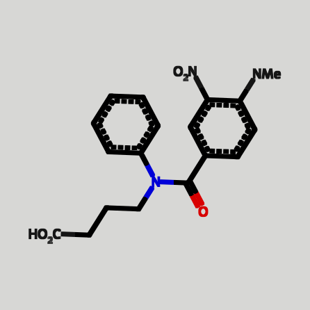 CNc1ccc(C(=O)N(CCCC(=O)O)c2ccccc2)cc1[N+](=O)[O-]